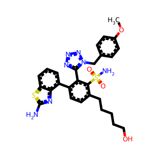 COc1ccc(Cn2nnnc2-c2c(-c3cccc4sc(N)nc34)ccc(CCCCCO)c2S(N)(=O)=O)cc1